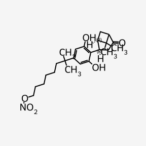 CC(C)(CCCCCCO[N+](=O)[O-])c1cc(O)c([C@@H]2CC(=O)C3C[C@H]2C3(C)C)c(O)c1